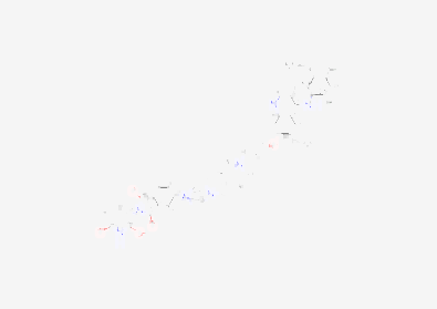 COc1cc(Nc2c(C#N)cnc3cc(OCCCN4CCC(CN5CC6CC5CN6c5ccc6c(c5)C(=O)N(C5CCC(=O)NC5=O)C6=O)CC4)c(OC)cc23)c(Cl)cc1Cl